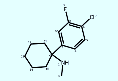 CNC1(c2ccc(Cl)c(F)c2)CCCCC1